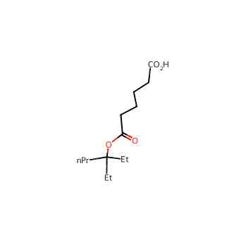 CCCC(CC)(CC)OC(=O)CCCCC(=O)O